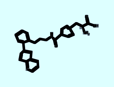 N[C@@H](Cc1ccc(C(=O)NCCCc2ccccc2-c2ccc3ncccc3c2)cc1)C(=O)O